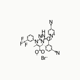 COC(=O)C1=C(C)N(c2cccc(C(F)(F)F)c2)c2n[nH]c(=O)n2[C@@H]1c1ccc(C#N)cc1CC[n+]1ccc(C#N)cc1.[Br-]